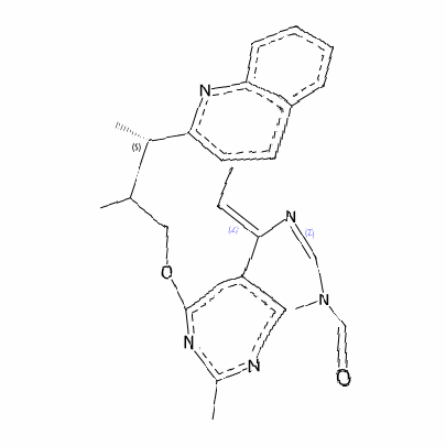 C/C=C(\N=C/N(C)C=O)c1cnc(C)nc1OCC(C)[C@H](C)c1ccc2ccccc2n1